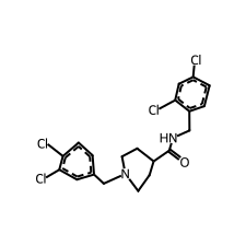 O=C(NCc1ccc(Cl)cc1Cl)C1CCN(Cc2ccc(Cl)c(Cl)c2)CC1